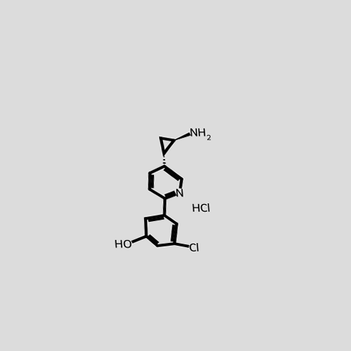 Cl.N[C@@H]1C[C@H]1c1ccc(-c2cc(O)cc(Cl)c2)nc1